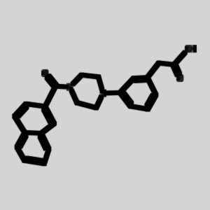 O=C(O)Cc1cccc(N2CCN(C(=O)c3ccc4ccccc4c3)CC2)c1